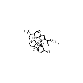 COC(=O)c1cnc(NC(C=O)[C@@H](C)CN2CC[C@](O)(c3ccc(Cl)cc3)C(C)(C)C2)s1